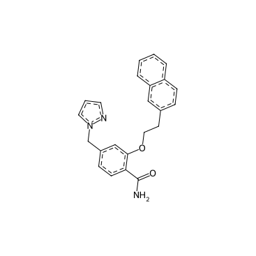 NC(=O)c1ccc(Cn2cccn2)cc1OCCc1ccc2ccccc2c1